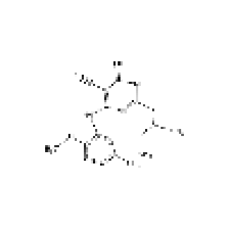 C=C1NC(CC(C)CC)=NC(Nc2cc(C)ccc2OC)=C1C#N